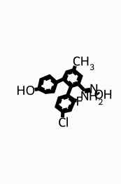 Cc1cc(/C(N)=N/O)c(-c2ccc(Cl)cc2F)c(-c2ccc(O)cc2)c1